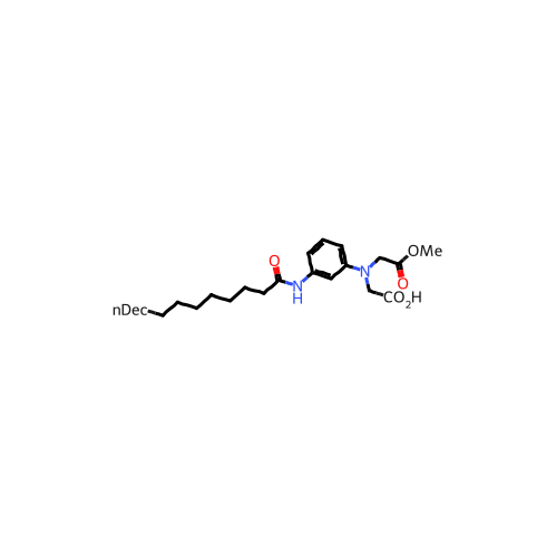 CCCCCCCCCCCCCCCCCC(=O)Nc1cccc(N(CC(=O)O)CC(=O)OC)c1